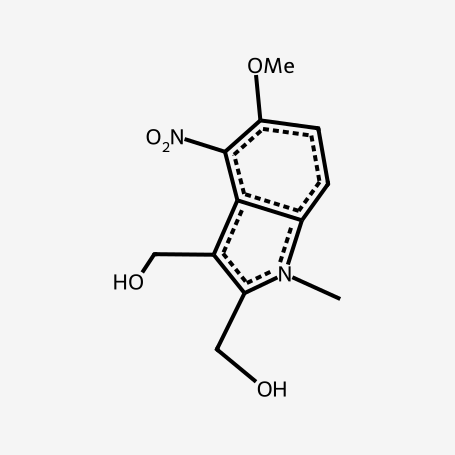 COc1ccc2c(c(CO)c(CO)n2C)c1[N+](=O)[O-]